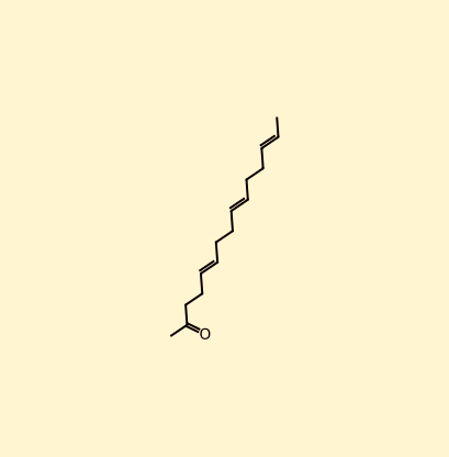 CC=CCCC=CCCC=CCCC(C)=O